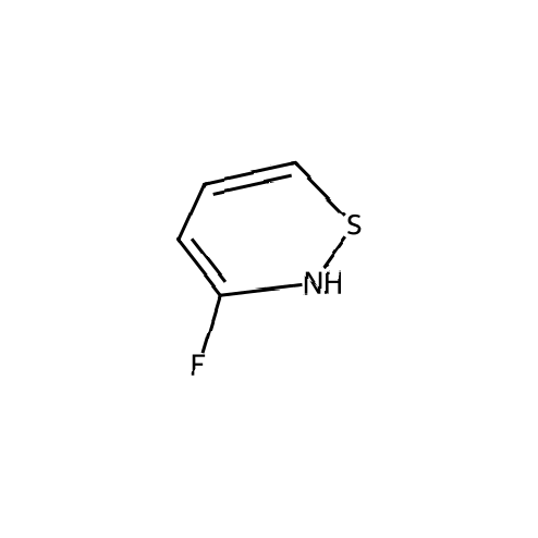 FC1=CC=CSN1